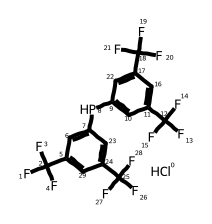 Cl.FC(F)(F)c1cc(Pc2cc(C(F)(F)F)cc(C(F)(F)F)c2)cc(C(F)(F)F)c1